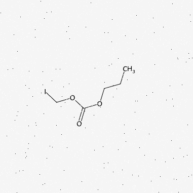 CCCOC(=O)OCI